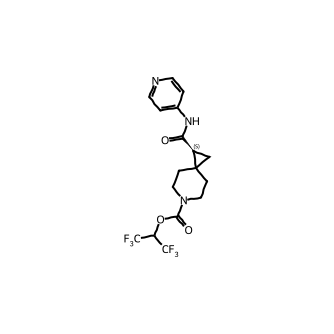 O=C(Nc1ccncc1)[C@H]1CC12CCN(C(=O)OC(C(F)(F)F)C(F)(F)F)CC2